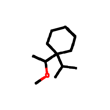 COC(C)C1(C(C)C)CCCCC1